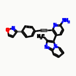 Cc1nc2ccccn2c1-c1ccc(N)nc1C#Cc1ccc(-c2ccon2)cc1